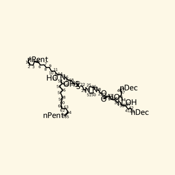 CCCCC/C=C\C/C=C\CCCCCCC(O)CN(CCCCSSCCN1CCN(CCOC(=O)CCCCN(CC(O)CCCCCCCCCCCC)CC(O)CCCCCCCCCCCC)CC1)CC(O)CCCCCC/C=C\C/C=C\CCCCC